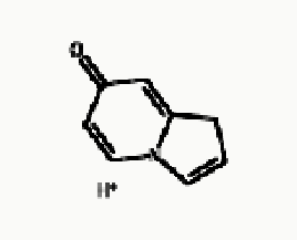 O=c1ccn2c(c1)CC=C2.[H+]